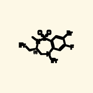 CC(C)C[C@@H]1CN(C(C)C)c2cc(F)c(Br)cc2S(=O)(=O)N1C